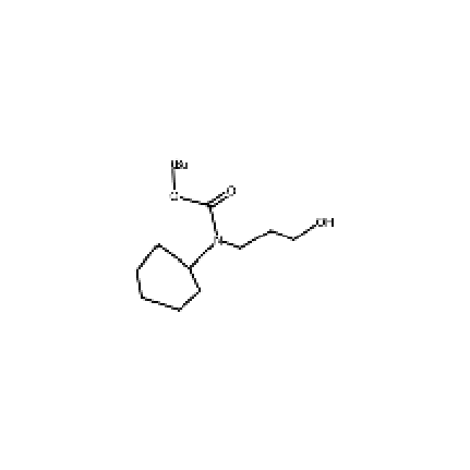 CC(C)(C)OC(=O)N(CCCO)C1CCCCC1